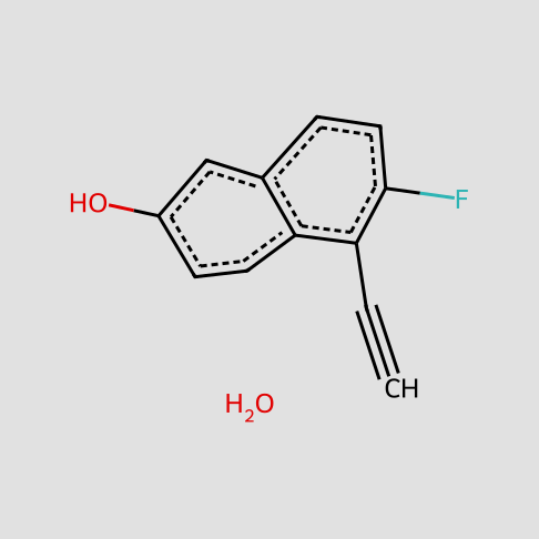 C#Cc1c(F)ccc2cc(O)ccc12.O